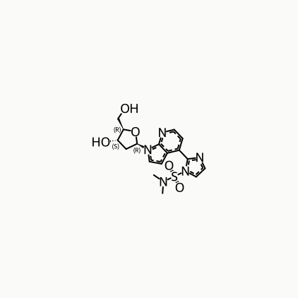 CN(C)S(=O)(=O)n1ccnc1-c1ccnc2c1ccn2[C@H]1C[C@H](O)[C@@H](CO)O1